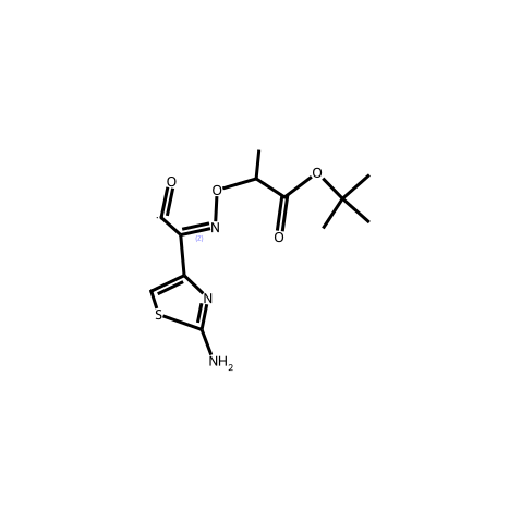 CC(O/N=C(\[C]=O)c1csc(N)n1)C(=O)OC(C)(C)C